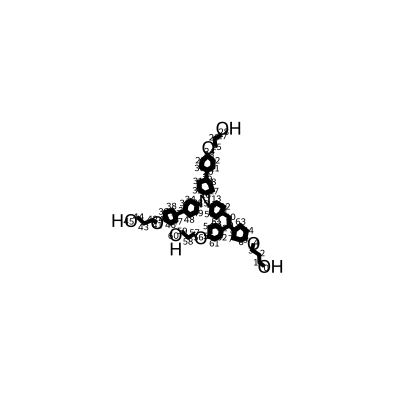 OCCCOc1ccc(C(=Cc2ccc(N(c3ccc(-c4ccc(OCCCO)cc4)cc3)c3ccc(-c4ccc(OCCCO)cc4)cc3)cc2)c2ccc(OCCCO)cc2)cc1